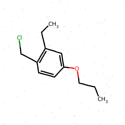 CCCOc1ccc(CCl)c(CC)c1